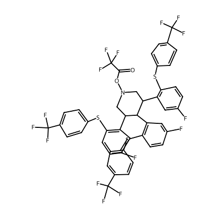 O=C(ON1CC(c2cc(F)ccc2Sc2ccc(C(F)(F)F)cc2)C(c2cc(F)ccc2Sc2ccc(C(F)(F)F)cc2)C(c2cc(F)ccc2Sc2ccc(C(F)(F)F)cc2)C1)C(F)(F)F